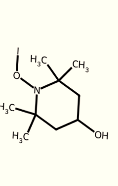 CC1(C)CC(O)CC(C)(C)N1OI